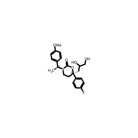 COc1ccc([C@H](C)N2CC[C@](CC(O)CO)(c3ccc(F)cc3)OC2=O)cc1